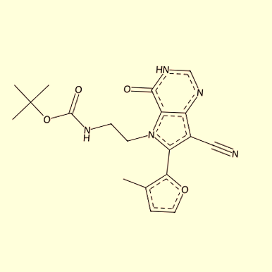 Cc1ccoc1-c1c(C#N)c2nc[nH]c(=O)c2n1CCNC(=O)OC(C)(C)C